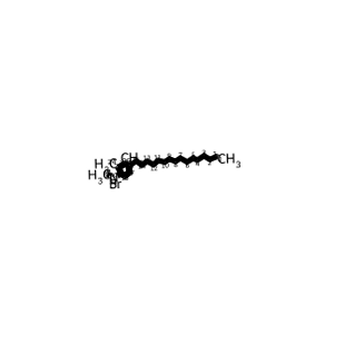 CCCCCCCCCCCCCCCCc1ccc(N(C)Br)c(C)c1C